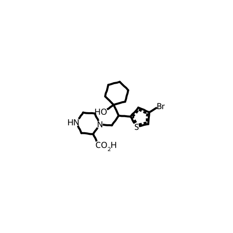 O=C(O)C1CNCCN1CC(c1cc(Br)cs1)C1(O)CCCCC1